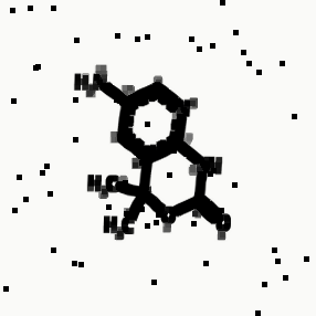 CC1(C)OC(=O)Nc2ncc(N)cc21